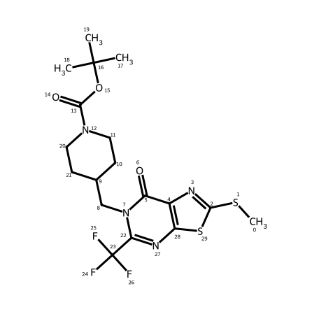 CSc1nc2c(=O)n(CC3CCN(C(=O)OC(C)(C)C)CC3)c(C(F)(F)F)nc2s1